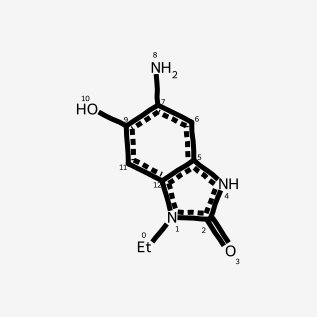 CCn1c(=O)[nH]c2cc(N)c(O)cc21